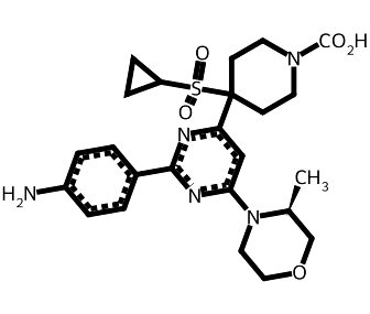 C[C@H]1COCCN1c1cc(C2(S(=O)(=O)C3CC3)CCN(C(=O)O)CC2)nc(-c2ccc(N)cc2)n1